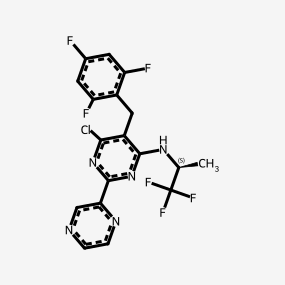 C[C@H](Nc1nc(-c2cnccn2)nc(Cl)c1Cc1c(F)cc(F)cc1F)C(F)(F)F